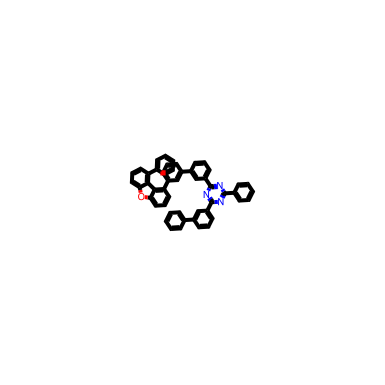 c1ccc(-c2cccc(-c3nc(-c4ccccc4)nc(-c4cccc(-c5cccc(-c6cccc7oc8cccc(-c9ccccc9)c8c67)c5)c4)n3)c2)cc1